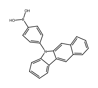 OB(O)c1ccc(-n2c3ccccc3c3cc4ccccc4cc32)cc1